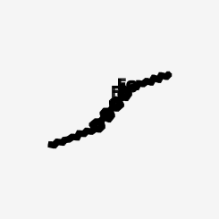 CCCCCCCCCCCCc1ccc(-c2ccc(-c3ccc(-c4ccc(OCCCCCCCCCC)c(F)c4F)cc3)cc2)cc1